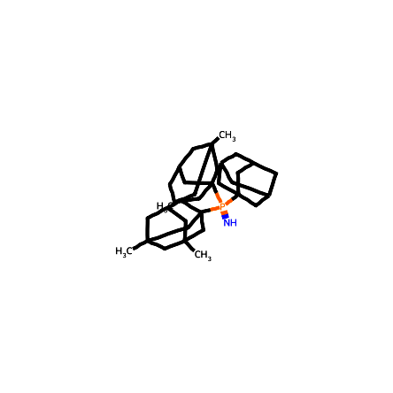 CC12CC3CC(C)(C1)CC(P(=N)(C14CC5CC(CC(C5)C1)C4)C14CC5CC(C)(CC(C)(C5)C1)C4)(C3)C2